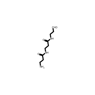 NCCC(=O)NCCC(=O)NCCC=O